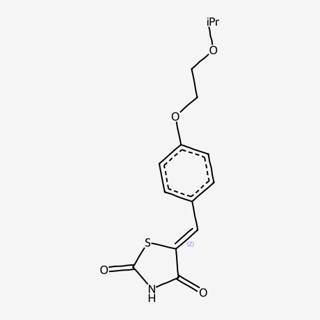 CC(C)OCCOc1ccc(/C=C2\SC(=O)NC2=O)cc1